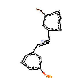 Pc1cccc(/C=C/c2cccc(Br)c2)c1